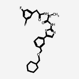 C[C@H](NC(=O)Cc1cc(F)cc(F)c1)C(=O)Nc1ncc(-c2cccc(COCC3CCCCC3)c2)s1